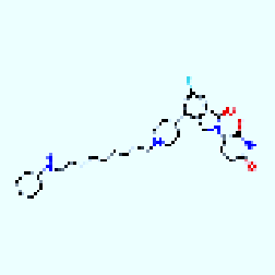 O=C1CCC(N2Cc3c(cc(F)cc3C3CCN(CCCCCCCCCNC4CCCCC4)CC3)C2=O)C(=O)N1